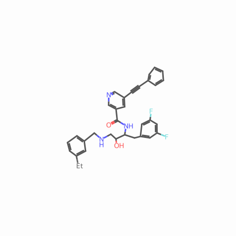 CCc1cccc(CNCC(O)C(Cc2cc(F)cc(F)c2)NC(=O)c2cncc(C#Cc3ccccc3)c2)c1